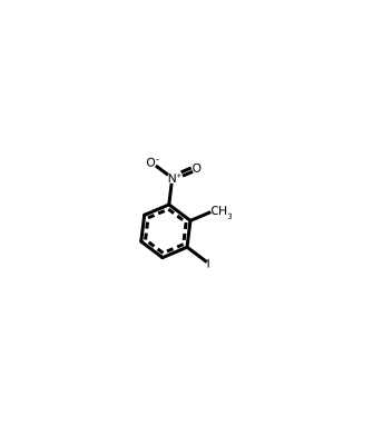 Cc1c(I)cccc1[N+](=O)[O-]